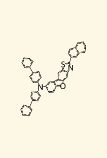 c1ccc(-c2ccc(N(c3ccc(-c4ccccc4)cc3)c3ccc4oc5cc6nc(-c7ccc8ccccc8c7)sc6cc5c4c3)cc2)cc1